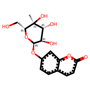 C[C@]1(O)[C@H](O)[C@@H](O)[C@@H](Oc2ccc3ccc(=O)oc3c2)O[C@@H]1CO